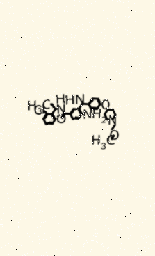 CCC(NC(=O)c1ccc(N)c(C(=N)c2ccc(OC3CCN(CCOC)CC3)cc2)c1)c1ccccc1Cl